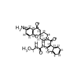 CCNC(=O)Nc1sc2ccccc2c1C(=O)N1CCC2(CC1)CC(=O)c1cc(N)ccc1O2